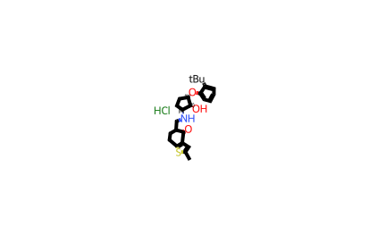 Cc1cc2c(s1)CCC(CN[C@@H]1CC[C@@H](Oc3ccccc3C(C)(C)C)[C@@H]1O)C2=O.Cl